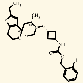 CCc1cc2c(s1)CCO[C@@]21CCN(C[C@H]2C[C@@H](NC(=O)OCc3ccccc3Cl)C2)[C@@H](C)C1